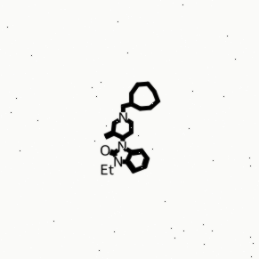 C=C1CN(CC2CCCCCCC2)CCC1n1c(=O)n(CC)c2ccccc21